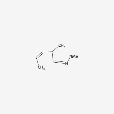 C/C=C\C(C)/C=N\NC